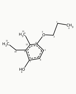 CCCOc1ccc(O)c(CC)c1C